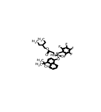 CCC(CC)COC(=O)CNP(=O)(Oc1c(F)c(F)c(F)c(F)c1F)Oc1ccc(C(C)(C)C)c2ccccc12